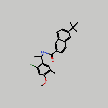 COc1cc(Cl)c([C@@H](C)NC(=O)c2ccc3cc(C(C)(C)C)ccc3c2)cc1C